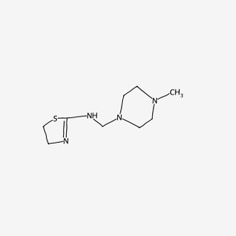 CN1CCN(CNC2=NCCS2)CC1